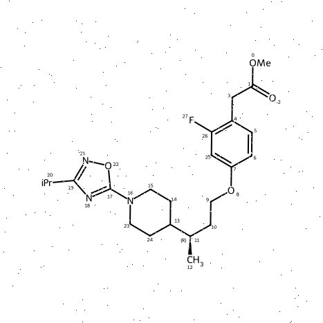 COC(=O)Cc1ccc(OCC[C@@H](C)C2CCN(c3nc(C(C)C)no3)CC2)cc1F